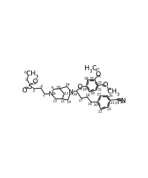 CCS(=O)(=O)CCCN1CC2CC(C1)CN(C(CCCc1ccc(C#N)cc1)Oc1ccc(OC)c(OC)c1)C2